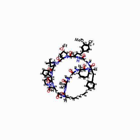 CCO[C@@H]1C[C@H]2C(=O)NC3(CC(C)(C)C3)C(=O)N(C)[C@@H](C3CCCC3)C(=O)N(C)[C@H](C(=O)N3CCCC3)CC(=O)N(C)[C@H]3CCCCCCc4ccc(cc4)C[C@@H](C(=O)N(C)CC(=O)N[C@@H](CCc4ccc(C(F)(F)F)c(OC)c4)C(=O)N2C1)N1CC/C=C\C[C@@H](C1=O)N(C)C(=O)CN(C)C(=O)[C@H]([C@@H](C)CC)NC3=O